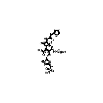 O=C(Cc1cccs1)NC1C(=O)N2C(C(=O)O)=C(CSc3nc(CS(=O)(=O)O)n[nH]3)CS[C@H]12.[NaH].[NaH]